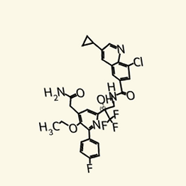 CCOc1c(CC(N)=O)cc([C@@](O)(CNC(=O)c2cc(Cl)c3ncc(C4CC4)cc3c2)C(F)(F)F)nc1-c1ccc(F)cc1